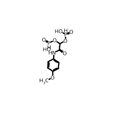 COc1ccc(NC(=O)C(O[PH](=O)O)O[PH](=O)O)cc1